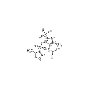 CC1CON=C1S(=O)(=O)Cc1c(C(F)(F)F)nn(C)c1OC(F)F